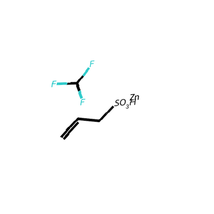 C=CCS(=O)(=O)O.FC(F)F.[Zn]